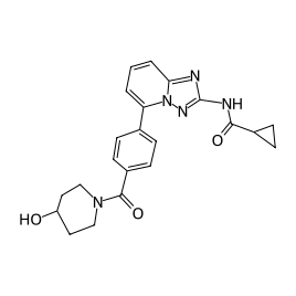 O=C(Nc1nc2cccc(-c3ccc(C(=O)N4CCC(O)CC4)cc3)n2n1)C1CC1